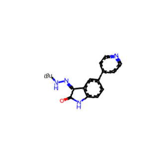 CC(C)(C)NN=C1C(=O)Nc2ccc(-c3ccncc3)cc21